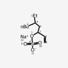 C=CC(CC(CC)CCCC)OS(=O)(=O)[O-].[Na+]